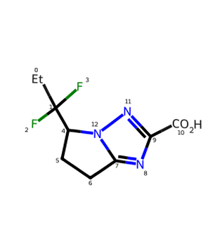 CCC(F)(F)C1CCc2nc(C(=O)O)nn21